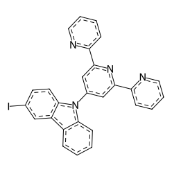 Ic1ccc2c(c1)c1ccccc1n2-c1cc(-c2ccccn2)nc(-c2ccccn2)c1